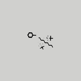 CCCCCC(O[Si](C)(C)C(C)(C)C)C(COC(=O)c1ccccc1)O[Si](C)(C)C(C)(C)C